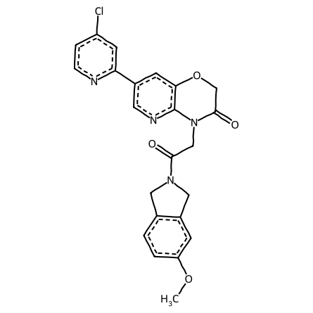 COc1ccc2c(c1)CN(C(=O)CN1C(=O)COc3cc(-c4cc(Cl)ccn4)cnc31)C2